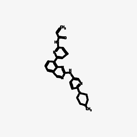 C=CC(=O)Nc1cccc(-c2cccc3cnc(Nc4ccc(N5CCN(C)CC5)nc4)nc23)n1